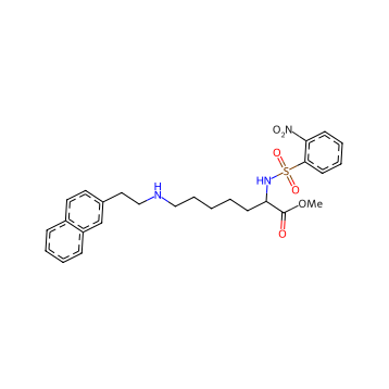 COC(=O)C(CCCCCNCCc1ccc2ccccc2c1)NS(=O)(=O)c1ccccc1[N+](=O)[O-]